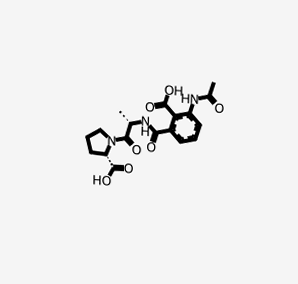 CC(=O)Nc1cccc(C(=O)N[C@@H](C)C(=O)N2CCC[C@H]2C(=O)O)c1C(=O)O